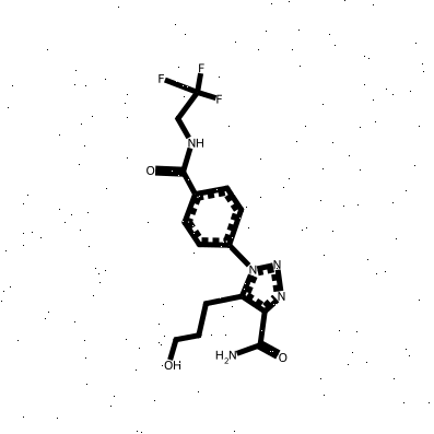 NC(=O)c1nnn(-c2ccc(C(=O)NCC(F)(F)F)cc2)c1CCCO